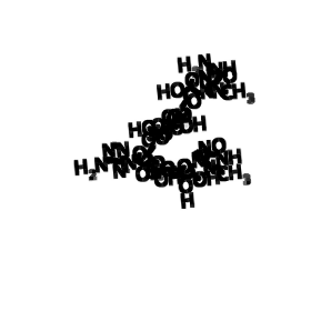 COC1C(OP(O)(=S)OCC2OC(n3cnc4c(=O)[nH]c(C)nc43)C(O)C2O)C(COP(=O)(O)OP(=O)(O)OP(=O)(O)OCC2OC(n3c[n+](C)c4c(=O)[nH]c(N)nc43)C(O)C2O)OC1n1cnc2c(N)ncnc21